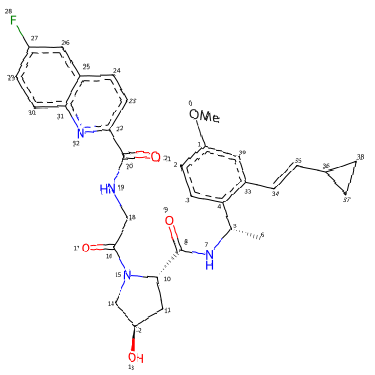 COc1ccc([C@H](C)NC(=O)[C@@H]2C[C@@H](O)CN2C(=O)CNC(=O)c2ccc3cc(F)ccc3n2)c(/C=C/C2CC2)c1